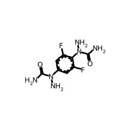 NC(=O)N(N)c1cc(F)c(N(N)C(N)=O)c(F)c1